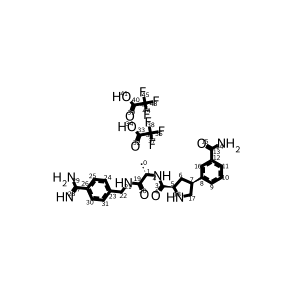 C[C@H](NC(=O)[C@H]1C[C@@H](c2cccc(C(N)=O)c2)CN1)C(=O)NCc1ccc(C(=N)N)cc1.O=C(O)C(F)(F)F.O=C(O)C(F)(F)F